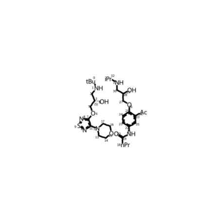 CC(C)(C)NC[C@H](O)COc1nsnc1N1CCOCC1.CCCC(=O)Nc1ccc(OCC(O)CNC(C)C)c(C(C)=O)c1